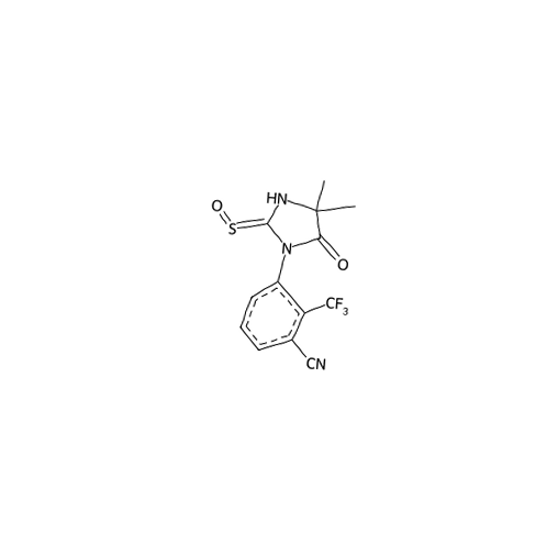 CC1(C)NC(=S=O)N(c2cccc(C#N)c2C(F)(F)F)C1=O